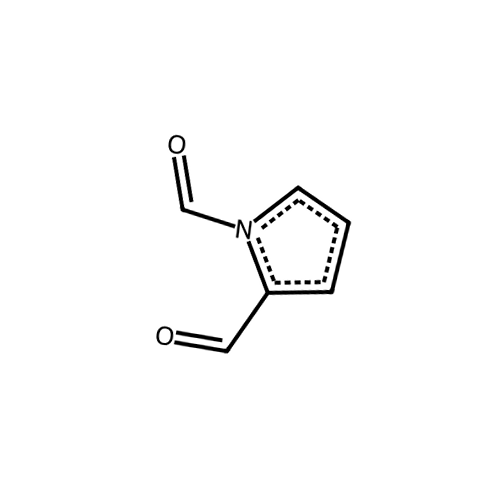 O=Cc1cccn1C=O